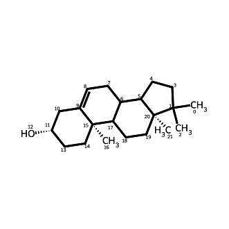 CC1(C)CCC2C3CC=C4C[C@@H](O)CC[C@]4(C)C3CC[C@@]21C